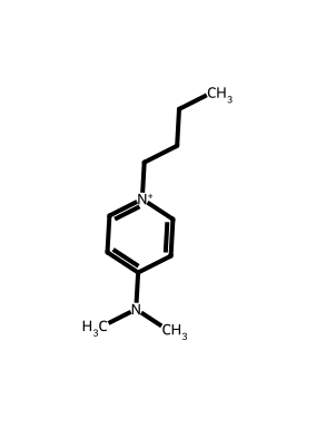 CCCC[n+]1ccc(N(C)C)cc1